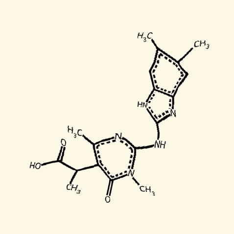 Cc1cc2nc(Nc3nc(C)c(C(C)C(=O)O)c(=O)n3C)[nH]c2cc1C